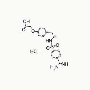 C[C@@H](Cc1ccc(OCC(=O)O)cc1)NS(=O)(=O)c1ccc(C(=N)N)cc1.Cl